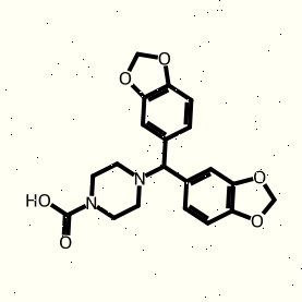 O=C(O)N1CCN(C(c2ccc3c(c2)OCO3)c2ccc3c(c2)OCO3)CC1